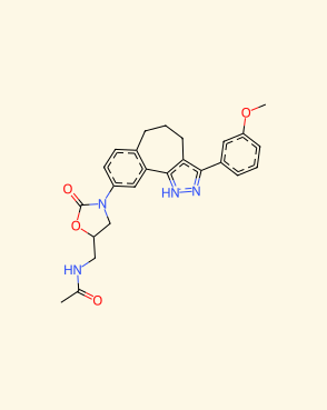 COc1cccc(-c2n[nH]c3c2CCCc2ccc(N4CC(CNC(C)=O)OC4=O)cc2-3)c1